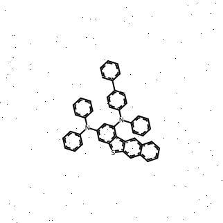 c1ccc(-c2ccc(N(c3ccccc3)c3cc(N(c4ccccc4)c4ccccc4)cc4sc5cc6ccccc6cc5c34)cc2)cc1